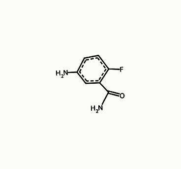 NC(=O)c1cc(N)ccc1F